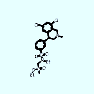 CCOP(C)(=O)CN(CC)S(=O)(=O)c1cccc(C2CN(C)Cc3c(Cl)cc(Cl)cc32)c1